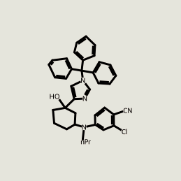 CCCN(c1ccc(C#N)c(Cl)c1)C1CCCC(O)(c2cn(C(c3ccccc3)(c3ccccc3)c3ccccc3)cn2)C1